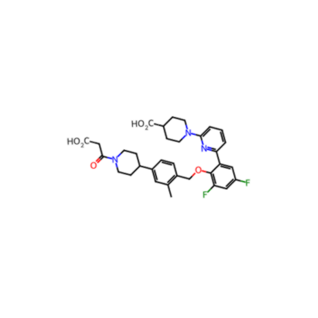 Cc1cc(C2CCN(C(=O)CC(=O)O)CC2)ccc1COc1c(F)cc(F)cc1-c1cccc(N2CCC(C(=O)O)CC2)n1